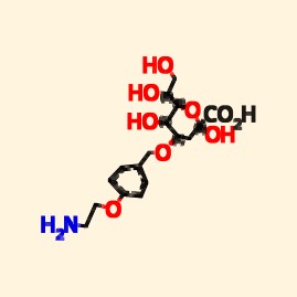 NCCOc1ccc(CO[C@@H]2C[C@](O)(C(=O)O)O[C@H]([C@H](O)CO)[C@@H]2O)cc1